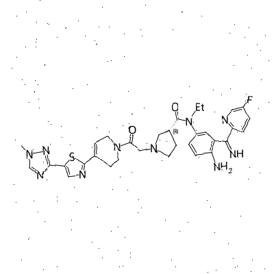 CCN(C(=O)[C@@H]1CCN(CC(=O)N2CC=C(c3ncc(-c4ncn(C)n4)s3)CC2)C1)c1ccc(N)c(C(=N)c2ccc(F)cn2)c1